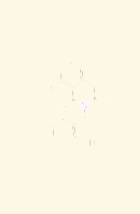 Cc1ccc(CN2C(=O)Cc3cccc(Cl)c3C2=O)c(C)c1